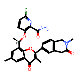 Cc1cc([C@@H](C)Oc2ccc(Cl)nc2C(N)=O)c2oc(-c3ccc4c(c3)CC(=O)N(C)C4)c(C)c(=O)c2c1